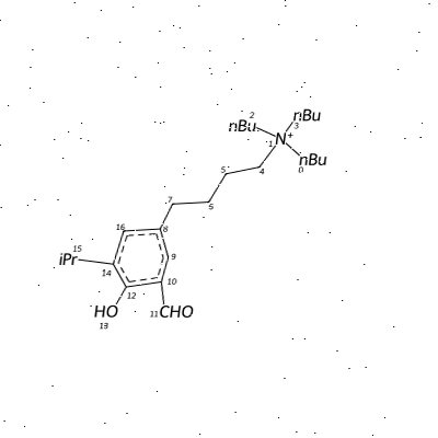 CCCC[N+](CCCC)(CCCC)CCCCc1cc(C=O)c(O)c(C(C)C)c1